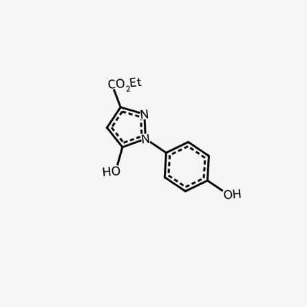 CCOC(=O)c1cc(O)n(-c2ccc(O)cc2)n1